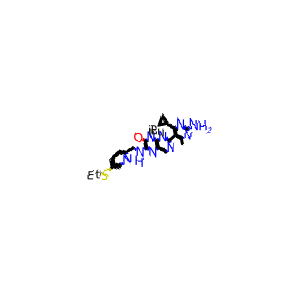 CCSc1ccc(CNc2nc3cnc(-c4c(C)nc(N)nc4C4CC4)nc3n([C@H](C)CC)c2=O)nc1